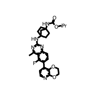 Cc1nc(NC23CCC(NC(=O)OC(C)C)(CC2)C3)nc2ccc(-c3ccnc4c3OCCO4)c(F)c12